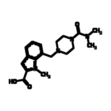 CN(C)C(=O)N1CCN(Cc2cccc3cc(C(=O)O)n(C)c23)CC1